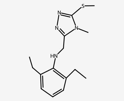 CCc1cccc(CC)c1NCc1nnc(SC)n1C